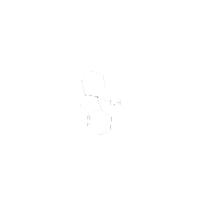 NC12CCSCC1Cc1ccccc12